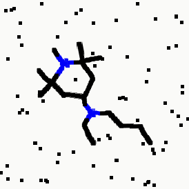 CCCCN(CC)C1CC(C)(C)N(C)C(C)(C)C1